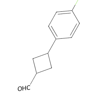 O=CC1CC(c2ccc(F)cc2)C1